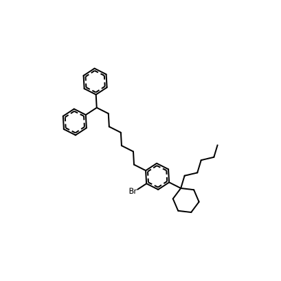 CCCCCC1(c2ccc(CCCCCCC(c3ccccc3)c3ccccc3)c(Br)c2)CCCCC1